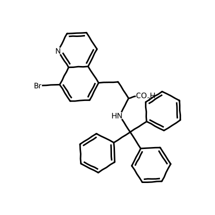 O=C(O)C(Cc1ccc(Br)c2ncccc12)NC(c1ccccc1)(c1ccccc1)c1ccccc1